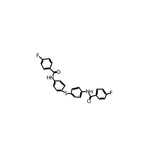 O=C(Nc1ccc(Sc2ccc(NC(=O)c3ccc(F)cc3)cc2)cc1)c1ccc(F)cc1